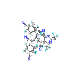 N#CC(=C1C(=C(/C#N)c2c(F)c(F)c(C#N)c(F)c2F)/C1=C(/C#N)c1c(F)c(F)c(C#N)c(F)c1F)c1c(C(F)(F)F)nc(C(F)(F)F)nc1C(F)(F)F